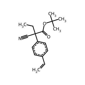 C=Cc1ccc(C(C#N)(CC)C(=O)OC(C)(C)C)cc1